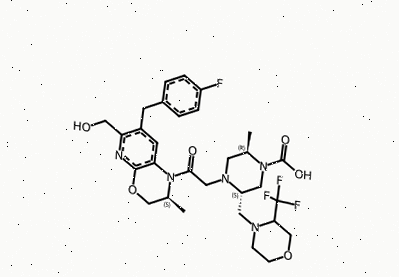 C[C@@H]1CN(CC(=O)N2c3cc(Cc4ccc(F)cc4)c(CO)nc3OC[C@@H]2C)[C@@H](CN2CCOCC2C(F)(F)F)CN1C(=O)O